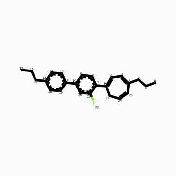 CCCC1=CC=C(c2ccc(-c3ccc(CCC)cc3)cc2F)CC=C1